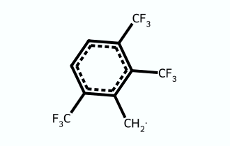 [CH2]c1c(C(F)(F)F)ccc(C(F)(F)F)c1C(F)(F)F